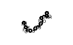 O=C(CN1CCC(OC2CCN(C(=O)c3c(F)cc(-c4ncccn4)cc3F)CC2)CC1)N1CCN(C(=O)c2cc(Cc3n[nH]c(=O)c4ccccc34)ccc2F)CC1